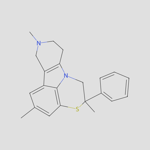 Cc1cc2c3c(c1)c1c(n3CC(C)(c3ccccc3)S2)CCN(C)C1